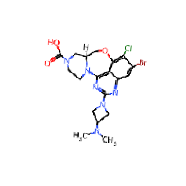 CN(C)C1CN(c2nc3c4c(c(Cl)c(Br)cc4n2)OC[C@@H]2CN(C(=O)O)CCN32)C1